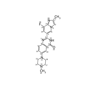 Cc1cn2cc(-c3nc4ccc(N5CCN(C)CC5)cc4c(=O)[nH]3)cc(F)c2n1